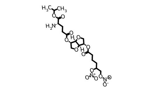 CC(C)OC(=O)[C@@H](N)CCC(=O)O[C@@H]1CO[C@H]2[C@@H]1OC[C@H]2OC(=O)CCCC(CO[N+](=O)[O-])O[N+](=O)[O-]